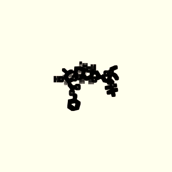 CC[Si](CC)(CC)OC(CO[Si](C)(C)C(C)(C)C)C1C[C@H]2O[C@@H]3[C@H](C[C@H]2O1)O[C@]1(C[C@H](C)[C@H](O)[C@H](CC(=O)OCc2ccccc2)O1)C[C@@H]3C